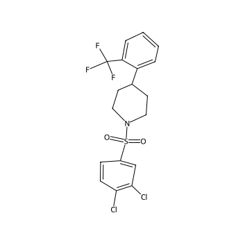 O=S(=O)(c1ccc(Cl)c(Cl)c1)N1CCC(c2ccccc2C(F)(F)F)CC1